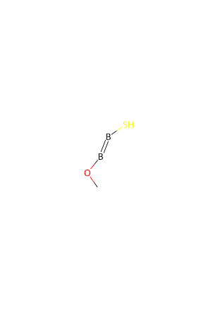 COB=BS